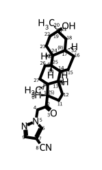 [2H][C@]1(C(=O)Cn2cc(C#N)cn2)CC[C@H]2[C@@H]3CC[C@@H]4C[C@](C)(O)CC[C@@H]4[C@H]3CC[C@@]21C